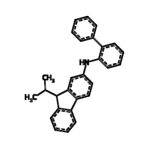 CC(C)C1c2ccccc2-c2ccc(Nc3ccccc3-c3ccccc3)cc21